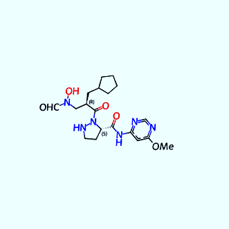 COc1cc(NC(=O)[C@@H]2CCNN2C(=O)[C@H](CC2CCCC2)CN(O)C=O)ncn1